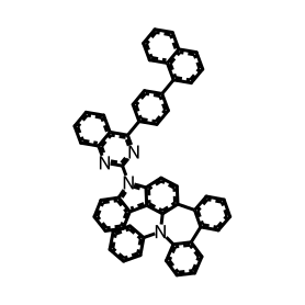 c1ccc(N2c3ccccc3-c3ccccc3-c3ccc4c(c32)c2ccccc2n4-c2nc(-c3ccc(-c4cccc5ccccc45)cc3)c3ccccc3n2)cc1